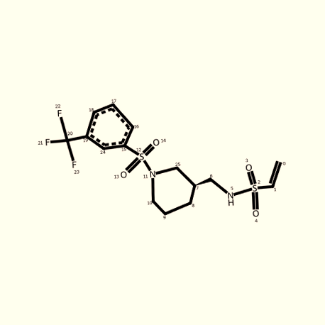 C=CS(=O)(=O)NC[C@H]1CCCN(S(=O)(=O)c2cccc(C(F)(F)F)c2)C1